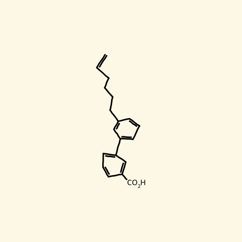 C=CCCCCc1cccc(-c2cccc(C(=O)O)c2)c1